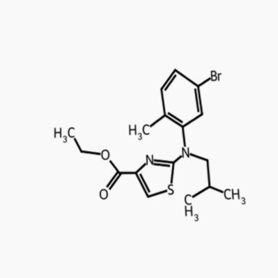 CCOC(=O)c1csc(N(CC(C)C)c2cc(Br)ccc2C)n1